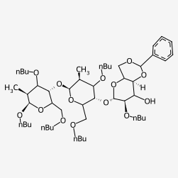 CCCCOCC1O[C@@H](O[C@@H]2C(COCCCC)O[C@@H](OCCCC)[C@@H](C)C2OCCCC)[C@@H](C)C(OCCCC)[C@@H]1O[C@@H]1OC2COC(c3ccccc3)O[C@H]2C(O)[C@H]1OCCCC